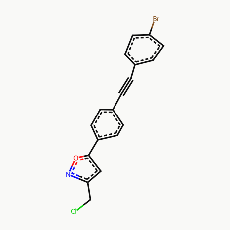 ClCc1cc(-c2ccc(C#Cc3ccc(Br)cc3)cc2)on1